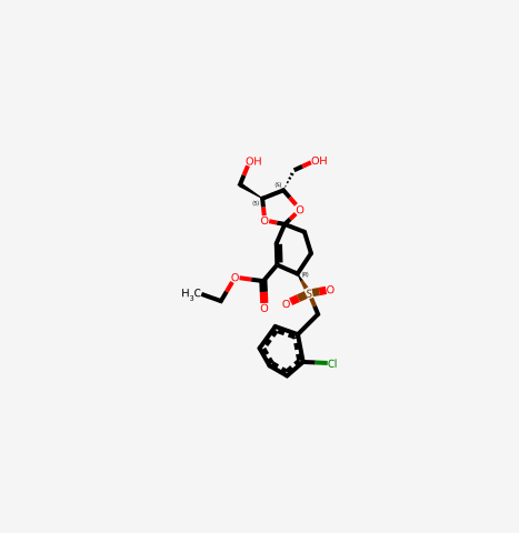 CCOC(=O)C1=CC2(CC[C@H]1S(=O)(=O)Cc1ccccc1Cl)O[C@@H](CO)[C@H](CO)O2